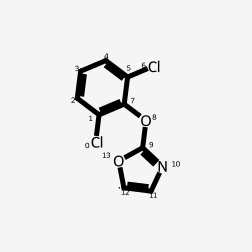 Clc1cccc(Cl)c1Oc1nc[c]o1